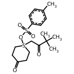 Cc1ccc(S(=O)(=O)OS2(CC(=O)C(C)(C)C)CCC(=O)CC2)cc1